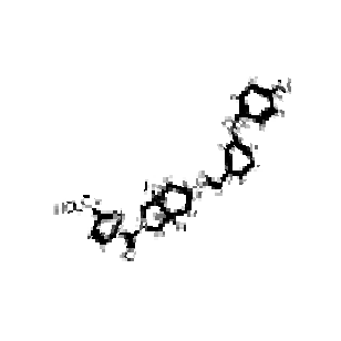 O=C(O)c1ccn(C(=O)N2C[C@H]3C[C@H](OCc4cccc(Oc5ccc(Cl)cc5)c4)C[C@H]3C2)n1